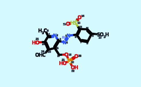 Cc1nc(/N=N/c2ccc(S(=O)(=O)O)cc2[SH](=O)=O)c(COP(=O)(O)O)c(C=O)c1O